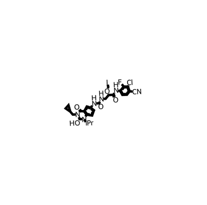 CC(C)N1c2ccc(NC(=O)NCC(OCI)C(=O)Nc3ccc(C#N)c(Cl)c3F)cc2C(=O)N(CC2CC2)C1O